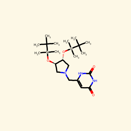 CC(C)(C)[Si](C)(C)O[C@@H]1CN(Cc2cc(=O)[nH]c(=O)[nH]2)C[C@H]1O[Si](C)(C)C(C)(C)C